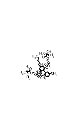 C=C(C)c1ccc(C)cc1-c1c(OP(C)(=O)OCOC(=O)C(C)(C)C)cc(CCCCC)cc1OP(C)(=O)OCOC(=O)C(C)(C)C